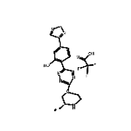 CC(C)[C@H]1CN(c2ncc(-c3ccc(-c4cnsn4)cc3O)nn2)CCN1.O=C(O)C(F)(F)F